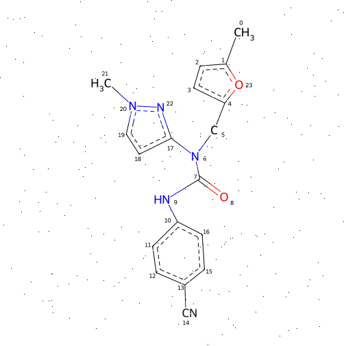 Cc1ccc(CN(C(=O)Nc2ccc(C#N)cc2)c2ccn(C)n2)o1